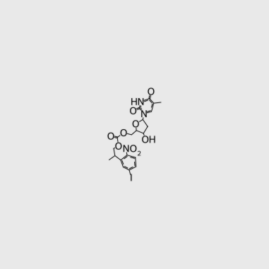 Cc1cn(C2CC(O)C(COC(=O)OCC(C)c3cc(I)ccc3[N+](=O)[O-])O2)c(=O)[nH]c1=O